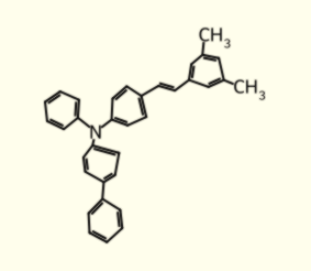 Cc1cc(C)cc(/C=C/c2ccc(N(c3ccccc3)c3ccc(-c4ccccc4)cc3)cc2)c1